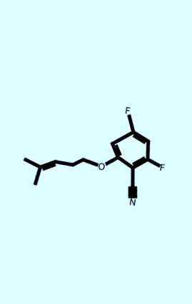 CC(C)=CCCOc1cc(F)cc(F)c1C#N